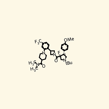 COc1ccc([C@@H]2CN(C(C)(C)C)C[C@@]2(F)C(=O)N2CC(c3ccc(C(F)(F)F)cc3N3CCC(C(=O)N(C)C)CC3)C2)cc1